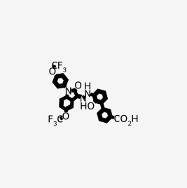 O=C(O)c1cccc(-c2cccc(N/N=C3\C(=O)N(c4ccc(OC(F)(F)F)cc4)C4C=CC(OC(F)(F)F)=CC34)c2O)c1